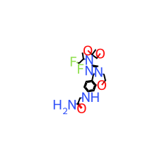 NC(=O)CNc1ccc2c(c1)OCCn1cc(N3C(C(F)F)COC34COC4)nc1-2